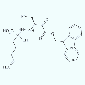 C=CCCC[C@](C)(NN[C@@H](CC(C)C)C(=O)C(=O)OCC1c2ccccc2-c2ccccc21)C(=O)O